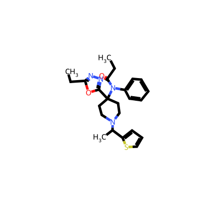 CCC(=O)N(c1ccccc1)C1(c2nnc(CC)o2)CCN(C(C)c2cccs2)CC1